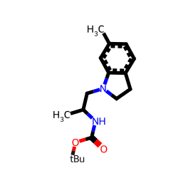 Cc1ccc2c(c1)N(CC(C)NC(=O)OC(C)(C)C)CC2